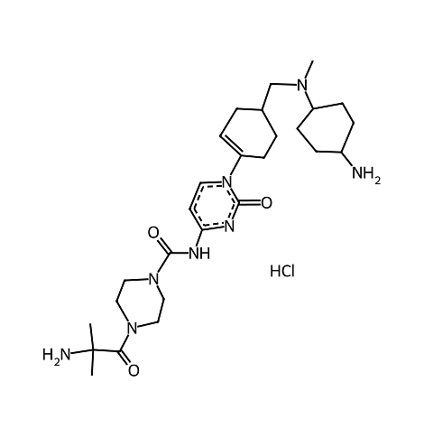 CN(CC1CC=C(n2ccc(NC(=O)N3CCN(C(=O)C(C)(C)N)CC3)nc2=O)CC1)C1CCC(N)CC1.Cl